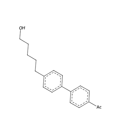 CC(=O)c1ccc(-c2ccc(CCCCCO)cc2)cc1